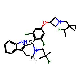 CC(F)C1(CN2CC(Oc3cc(F)c([C@@H]4c5[nH]c6ccccc6c5C[C@@H](C)N4CC(C)(C)F)c(F)c3)C2)CC1